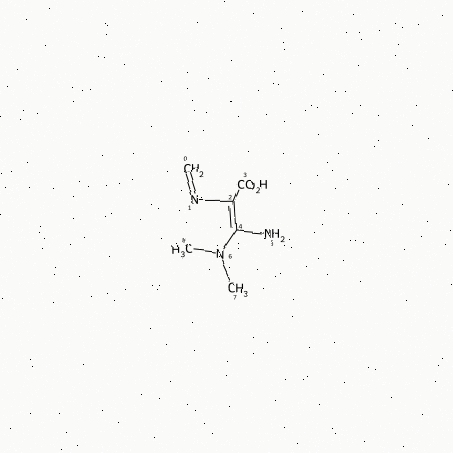 C=N/C(C(=O)O)=C(/N)N(C)C